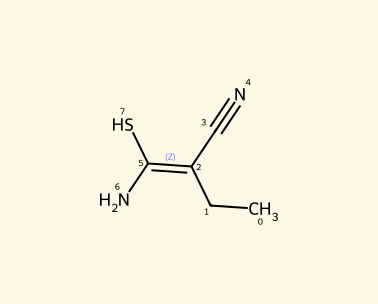 CC/C(C#N)=C(\N)S